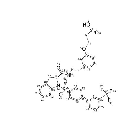 O=C(O)CCOc1cccc(CCNC(=O)[C@@H]2Cc3ccccc3N2S(=O)(=O)c2ccc(-c3cccc(C(F)(F)F)c3)cc2)c1